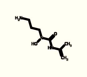 C=C(C)NC(=O)N(O)CCCN